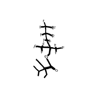 CCC(C)(C(=O)OCC(C(F)(F)F)(C(F)(F)F)C(F)(F)C(F)(F)C(F)(F)F)C(C)C